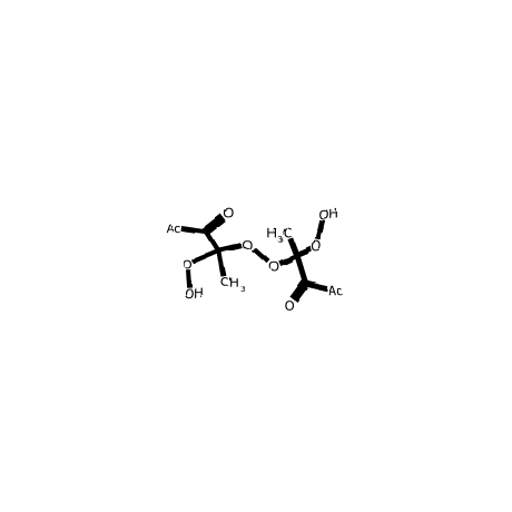 CC(=O)C(=O)C(C)(OO)OOC(C)(OO)C(=O)C(C)=O